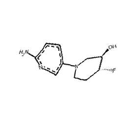 Nc1ccc(N2CC[C@@H](F)[C@H](O)C2)cn1